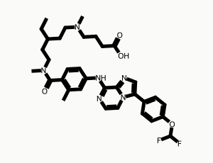 CCC(CCN(C)CCCC(=O)O)CCN(C)C(=O)c1ccc(Nc2nccn3c(-c4ccc(OC(F)F)cc4)cnc23)cc1C